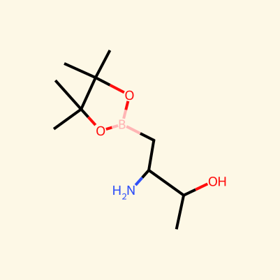 CC(O)C(N)CB1OC(C)(C)C(C)(C)O1